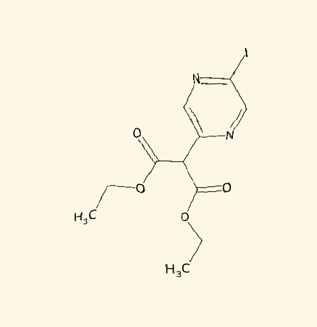 CCOC(=O)C(C(=O)OCC)c1cnc(I)cn1